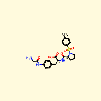 Cc1ccc(S(=O)(=O)N2CCC[C@H]2C(=O)N[C@@H](Cc2ccc(NC(=O)CN)cc2)C(=O)O)cc1